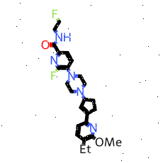 CCc1ccc(C2=CC(N3CCN(c4ccc(C(=O)NCCF)nc4F)CC3)CC2)nc1OC